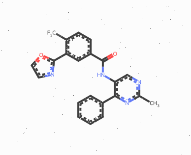 Cc1ncc(NC(=O)c2ccc(C(F)(F)F)c(-c3ncco3)c2)c(-c2ccccc2)n1